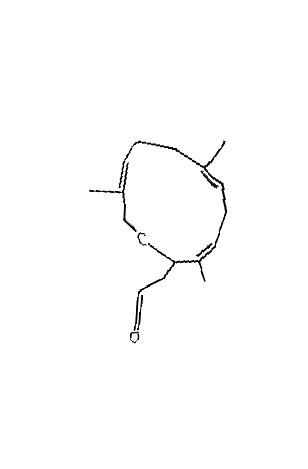 C/C1=C/C/C=C(/C)C(CC=O)CC/C(C)=C\CC1